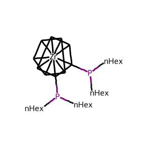 CCCCCCP(CCCCCC)[C]12[CH]3[CH]4[CH]5[C]1(P(CCCCCC)CCCCCC)[Zr]43521678[CH]2[CH]1[CH]6[CH]7[CH]28